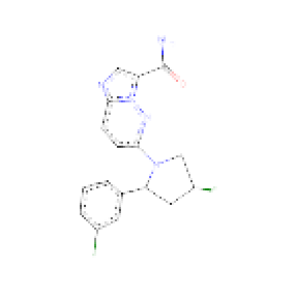 NC(=O)c1cnc2ccc(N3C[C@@H](F)CC3c3cccc(F)c3)nn12